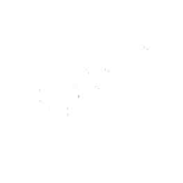 C=C(C=N)CCNC(C)Nc1ncc(F)c(-c2cc(F)c3c(c2)N(C(C)C)CCO3)n1